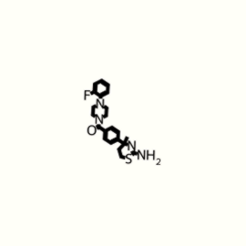 CC1(c2ccc(C(=O)N3CCN(c4ccccc4F)CC3)cc2)CCSC(N)=N1